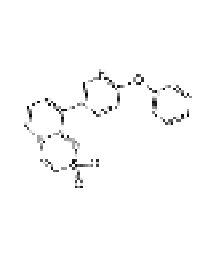 O=S1(=O)C=CN2C=CC=C(c3ccc(Oc4ccccc4)nc3)C2=N1